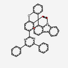 c1ccc(-c2cc(-c3ccccc3)nc(-c3ccc4c(c3)C3(c5ccccc5O4)c4ccccc4-n4c5ccccc5c5cccc3c54)n2)cc1